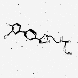 CCCCOC(=O)NCCc1nc(-c2ccc(-c3ccc(F)c(Cl)c3)cc2)c[nH]1